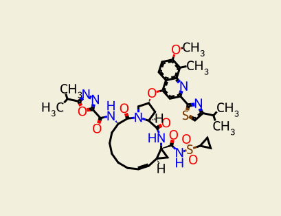 COc1ccc2c(O[C@@H]3C[C@H]4C(=O)N[C@]5(C(=O)NS(=O)(=O)C6CC6)C[C@H]5/C=C\CCCCC[C@H](NC(=O)c5nnc(C(C)C)o5)C(=O)N4C3)cc(-c3nc(C(C)C)cs3)nc2c1C